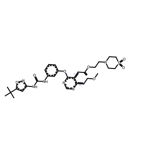 C=C(/C=c1/c(Oc2cccc(NC(=O)Nc3cc(C(C)(C)C)on3)c2)ncn/c1=C/COC)OCCN1CCS(=O)(=O)CC1